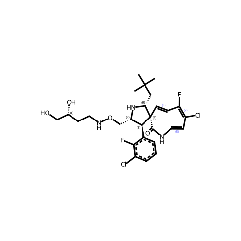 CC(C)(C)C[C@H]1N[C@@H](CONCC[C@@H](O)CO)[C@H](c2cccc(Cl)c2F)[C@]12/C=C/C(F)=C(Cl)\C=C\NC2=O